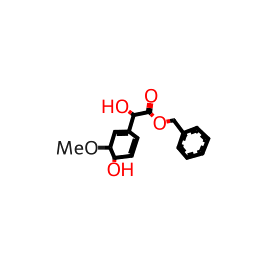 COC1C=C(C(O)C(=O)OCc2ccccc2)C=CC1O